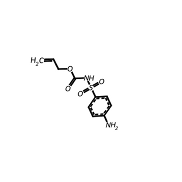 C=CCOC(=O)NS(=O)(=O)c1ccc(N)cc1